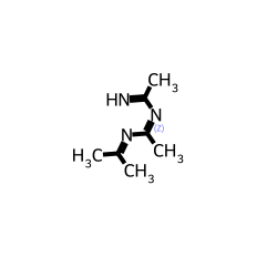 CC(=N)/N=C(/C)N=C(C)C